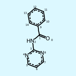 O=C(Nc1ncccn1)c1ccccc1